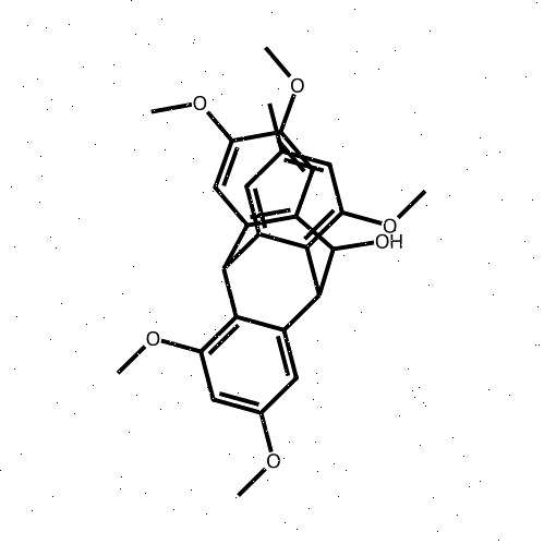 COc1cc(OC)c2c(c1)C1c3c(OC)cc(C)cc3C2c2cc(OC)c(OC)cc2C1O